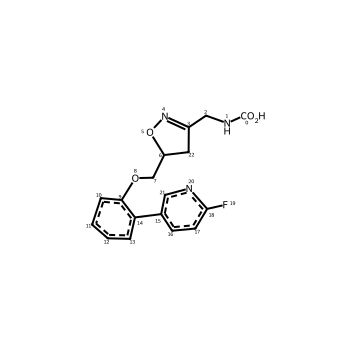 O=C(O)NCC1=NOC(COc2ccccc2-c2ccc(F)nc2)C1